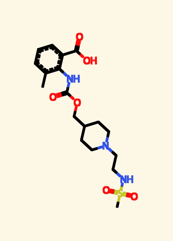 Cc1cccc(C(=O)O)c1NC(=O)OCC1CCN(CCNS(C)(=O)=O)CC1